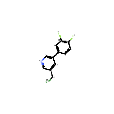 Fc1ccc(-c2cncc(CCl)c2)cc1F